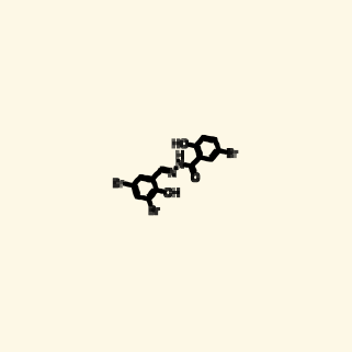 O=C(N/N=C/c1cc(Br)cc(Br)c1O)c1cc(Br)ccc1O